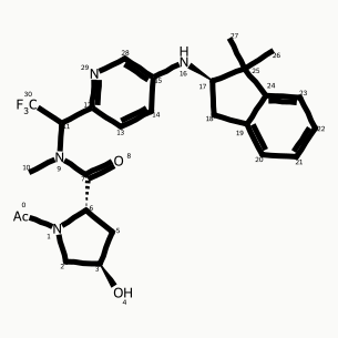 CC(=O)N1C[C@H](O)C[C@H]1C(=O)N(C)C(c1ccc(N[C@@H]2Cc3ccccc3C2(C)C)cn1)C(F)(F)F